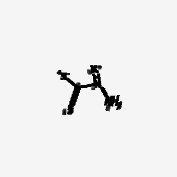 NNC(=S)[S-].[K+]